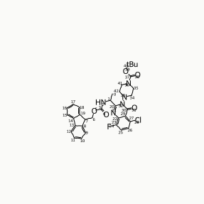 CC(NC(=O)OCC1c2ccccc2-c2ccccc21)c1nc2c(F)ccc(Cl)c2c(=O)n1N1CCN(C(=O)OC(C)(C)C)CC1